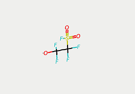 [O]C(F)(F)C(F)(F)S(=O)(=O)F